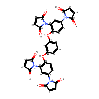 O=C1C=CC(=O)N1c1ccc(Oc2cccc(Oc3ccc(N4C(=O)C=CC4=O)cc3N3C(=O)C=CC3=O)c2)c(N2C(=O)C=CC2=O)c1